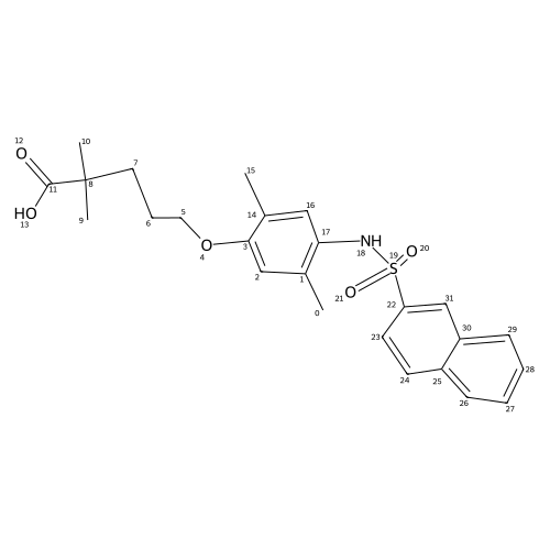 Cc1cc(OCCCC(C)(C)C(=O)O)c(C)cc1NS(=O)(=O)c1ccc2ccccc2c1